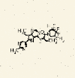 CCC(Nc1ncnc2c1nc(-c1cnc(C)nc1)n2CC)C(=O)N1C[C@@H](C)C(F)(F)[C@@H](C)C1